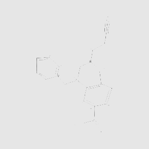 N#CCCC1CN(Cc2ccccc2)c2cc([N+](=O)[O-])ccc2O1